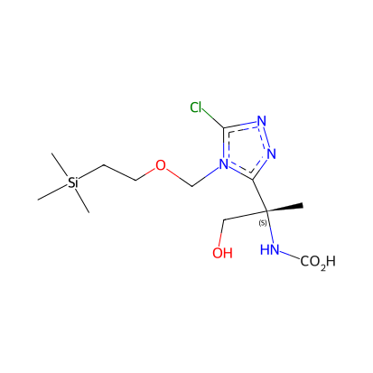 C[C@](CO)(NC(=O)O)c1nnc(Cl)n1COCC[Si](C)(C)C